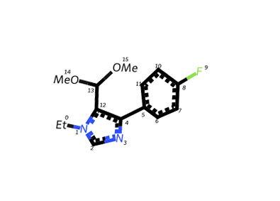 CCn1cnc(-c2ccc(F)cc2)c1C(OC)OC